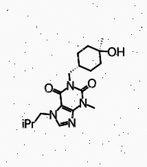 CC(C)Cn1cnc2c1c(=O)n(C[C@H]1CC[C@](C)(O)CC1)c(=O)n2C